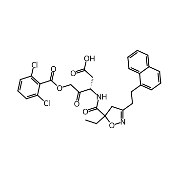 CCC1(C(=O)N[C@@H](CC(=O)O)C(=O)COC(=O)c2c(Cl)cccc2Cl)CC(CCc2cccc3ccccc23)=NO1